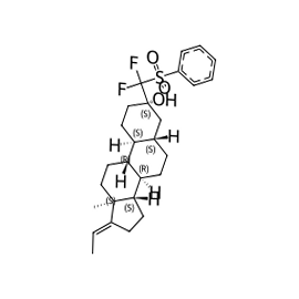 CC=C1CC[C@H]2[C@@H]3CC[C@H]4C[C@](O)(C(F)(F)S(=O)(=O)c5ccccc5)CC[C@@H]4[C@H]3CC[C@]12C